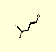 CC/C=C/C[C@@H](C)I